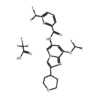 O=C(Nc1cc(OC(F)F)c2nc(C3CCOCC3)cn2c1)c1cccc(C(F)F)n1.O=C(O)C(F)(F)F